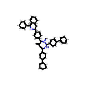 C=C1C=C(c2ccc(-c3ccccc3)cc2)NC(c2ccc(-c3ccccc3)cc2)N(C)C1c1ccc(C2C=c3ccccc3=C(C3=CCCC=C3)N2)cc1